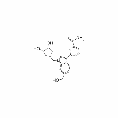 NC(=S)c1cccc(-c2cn(CC3CC(O)C(O)C3)c3cc(CO)ccc23)c1